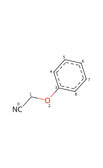 N#CCOc1[c]cccc1